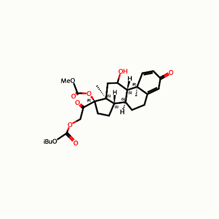 COC(=O)O[C@]1(C(=O)COC(=O)OCC(C)C)CC[C@H]2[C@@H]3CCC4=CC(=O)C=C[C@]4(C)[C@H]3C(O)C[C@@]21C